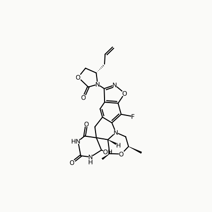 C=CC[C@H]1COC(=O)N1c1noc2c(F)c3c(cc12)CC1(C(=O)NC(=O)NC1O)[C@H]1[C@H](C)O[C@H](C)CN31